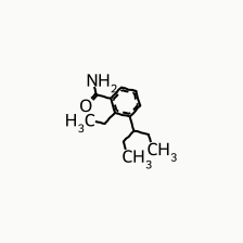 CCc1c(C(N)=O)cccc1C(CC)CC